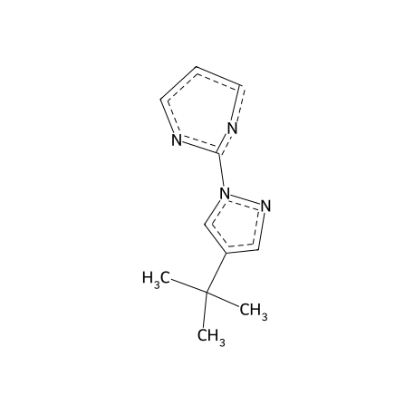 CC(C)(C)c1cnn(-c2ncccn2)c1